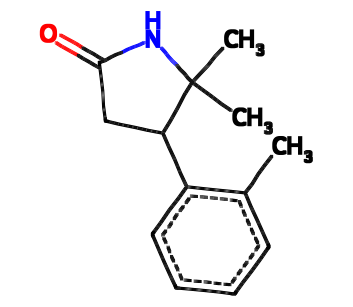 Cc1ccccc1C1CC(=O)NC1(C)C